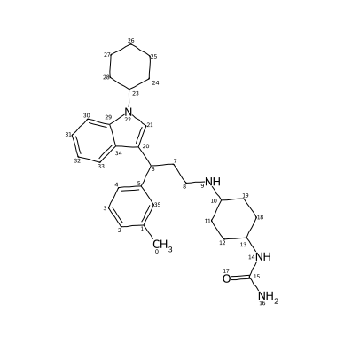 Cc1cccc(C(CCNC2CCC(NC(N)=O)CC2)c2cn(C3CCCCC3)c3ccccc23)c1